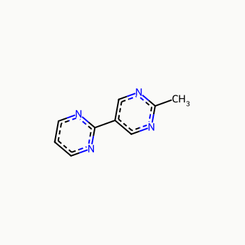 Cc1ncc(-c2ncccn2)cn1